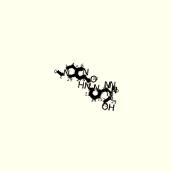 CCN1CCc2cnc(C(=O)Nc3cccc(-c4nnnn4[C@H](C)CO)n3)cc2C1